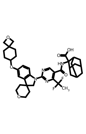 CC(F)(F)c1nc(N2CC3(CCOCC3)c3cc(OC4CCC5(CC4)COC5)ccc32)ncc1C(=O)NC1(C(=O)O)C2CC3CC(C2)CC1C3